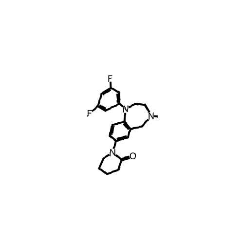 CN1CCN(c2cc(F)cc(F)c2)c2ccc(N3CCCCC3=O)cc2C1